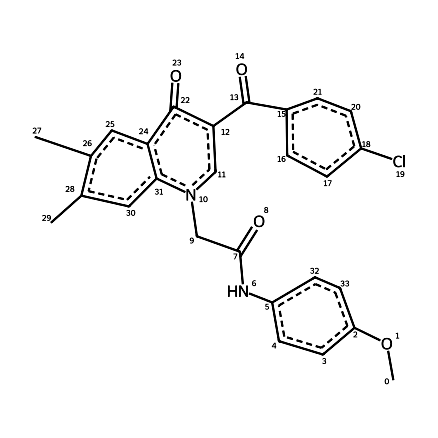 COc1ccc(NC(=O)Cn2cc(C(=O)c3ccc(Cl)cc3)c(=O)c3cc(C)c(C)cc32)cc1